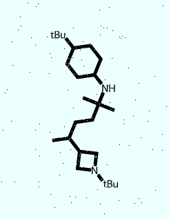 CC(CCC(C)(C)NC1CCC(C(C)(C)C)CC1)C1CN(C(C)(C)C)C1